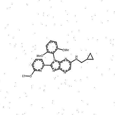 CCOc1cccc(-c2nc3ncc(NCC4CC4)nc3n2-c2c(OC)cccc2OC)n1